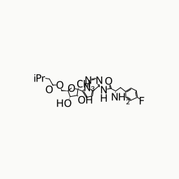 CC(C)CC(=O)OC[C@H]1O[C@@](C)(c2ccc3c(NC(=O)[C@@H](N)Cc4ccc(F)cc4)ncnn23)[C@H](O)[C@@H]1O